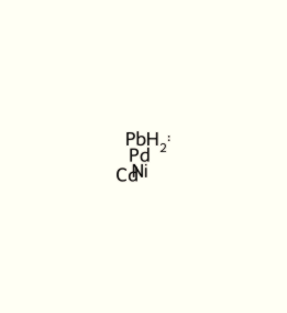 [Cd].[Ni].[PbH2].[Pd]